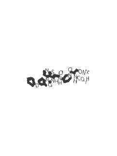 COCC(NC(=O)O)C(=O)N1CCCC(NC(=O)c2sc3nccc4c3c2NC(=O)N4c2ccc(Oc3ccccc3)cc2C)C1